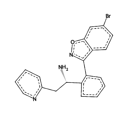 N[C@@H](Cc1ccccn1)c1ccccc1-c1noc2cc(Br)ccc12